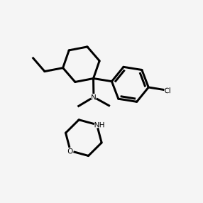 C1COCCN1.CCC1CCCC(c2ccc(Cl)cc2)(N(C)C)C1